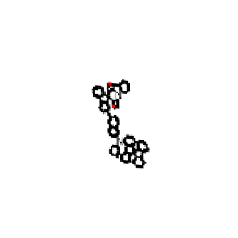 c1ccc(N(c2ccc3cc(-c4ccc5c(c4)C4(c6ccccc6-5)c5ccccc5-n5c6ccccc6c6cccc4c65)ccc3c2)c2cccc3c2-c2ccccc2C32c3ccccc3-c3ccccc32)cc1